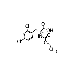 CCOC(=O)N[C@H](Cc1ccc(Cl)cc1Cl)C(=O)O